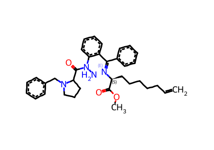 C=CCCCCC[C@H](/N=C(\c1ccccc1)c1ccccc1N(N)C(=O)C1CCCN1Cc1ccccc1)C(=O)OC